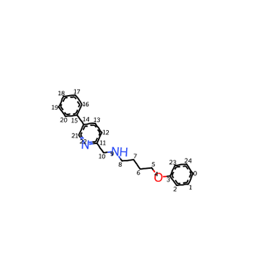 c1ccc(OCCCCNCc2ccc(-c3ccccc3)cn2)cc1